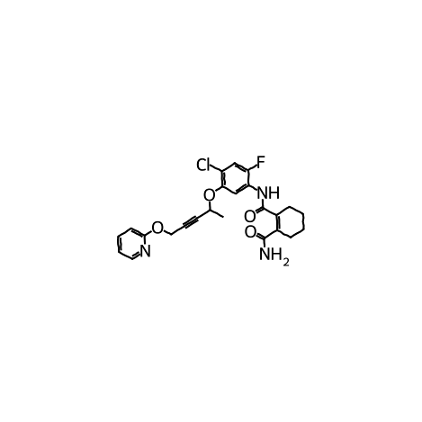 CC(C#CCOc1ccccn1)Oc1cc(NC(=O)C2=C(C(N)=O)CCCC2)c(F)cc1Cl